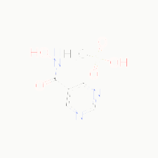 CS(=O)(=O)O.O=C(NO)c1cncnc1